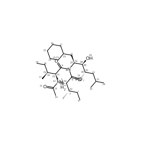 CC[C@H](C)[C@H](N)C(=O)N(C(=O)[C@@H](NC(C)=O)[C@@H](C)CC)[C@@H](CC1CCCCC1)[C@@H](O)[C@@H](O)CC(C)C